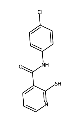 O=C(Nc1ccc(Cl)cc1)c1cccnc1S